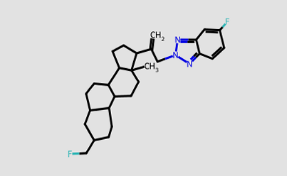 C=C(Cn1nc2ccc(F)cc2n1)C1CCC2C3CCC4CC(CF)CCC4C3CCC12C